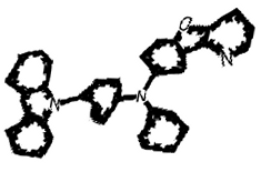 c1ccc(N(c2ccc(-n3c4ccccc4c4ccccc43)cc2)c2ccc3oc4cccnc4c3c2)cc1